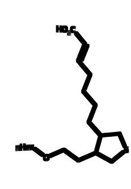 CCCCCCOCCC1CSCC1CCCC/C=C/C(=O)O